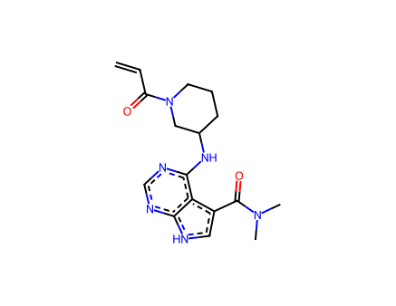 C=CC(=O)N1CCCC(Nc2ncnc3[nH]cc(C(=O)N(C)C)c23)C1